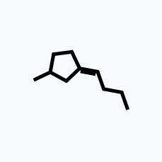 CCCC=C1CCC(C)C1